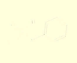 CP(C)(=O)Oc1cc[c]cc1